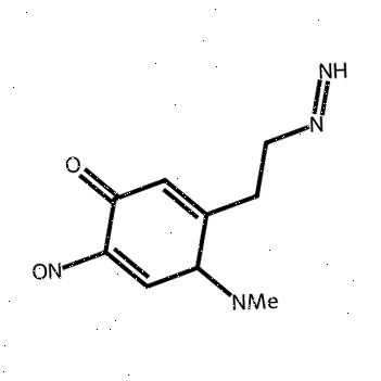 CNC1C=C(N=O)C(=O)C=C1CCN=N